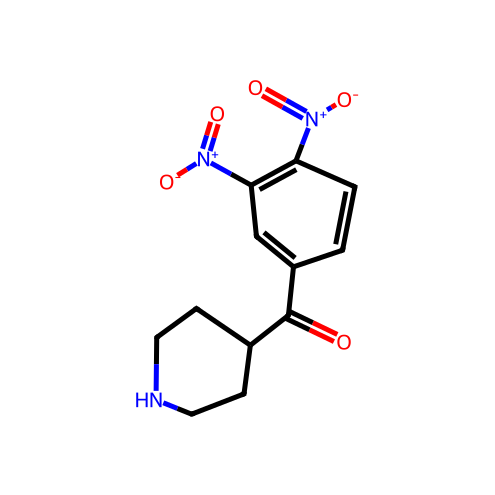 O=C(c1ccc([N+](=O)[O-])c([N+](=O)[O-])c1)C1CCNCC1